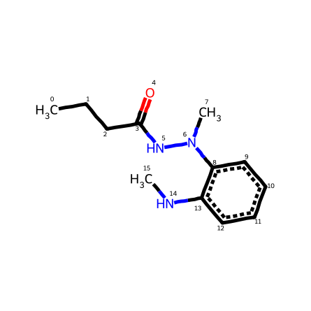 CCCC(=O)NN(C)c1ccccc1NC